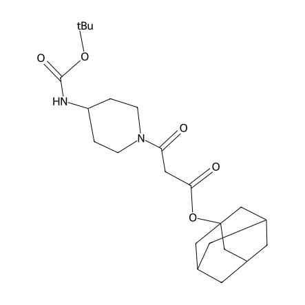 CC(C)(C)OC(=O)NC1CCN(C(=O)CC(=O)OC23CC4CC(CC(C4)C2)C3)CC1